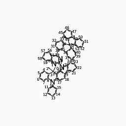 CC1(C)c2ccccc2N(c2ccccc2)c2ccc3c4ccccc4n(-c4nc(-c5cccc6c5-c5ccccc5C65c6ccccc6-c6ccccc65)c5ccccc5n4)c3c21